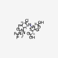 Cc1nn(-c2cc(/N=C3\SC(CC(=O)O)C(=O)N3CC(=O)O)c(Cl)cc2F)c(=O)n1C(F)F